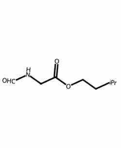 CC(C)CCOC(=O)CNC=O